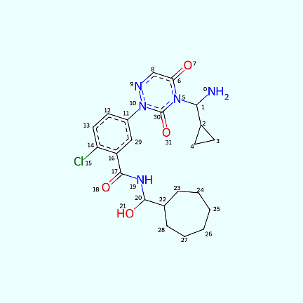 NC(C1CC1)n1c(=O)cnn(-c2ccc(Cl)c(C(=O)NC(O)C3CCCCCC3)c2)c1=O